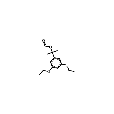 CCOc1cc(OCC)cc(C(C)(C)O[C]=O)c1